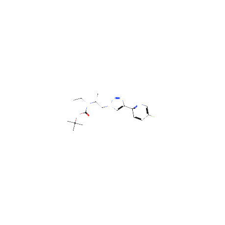 CCN(C(=O)OC(C)(C)C)[C@@H](C)Cn1cc(-c2ccc(F)cn2)nn1